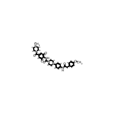 COc1ccc(CC(=O)Nc2ccc(N3CCN(C(=O)Nc4c(Cl)cc(C(=O)N5CCN(C)CC5)cc4Cl)CC3)cc2)cc1